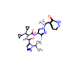 CC(C)n1nccc1C(=O)N[C@H](C(=O)Nc1cn([C@H](C)c2ccn[nH]c2=O)nc1F)C(C1CC1)C1CC1